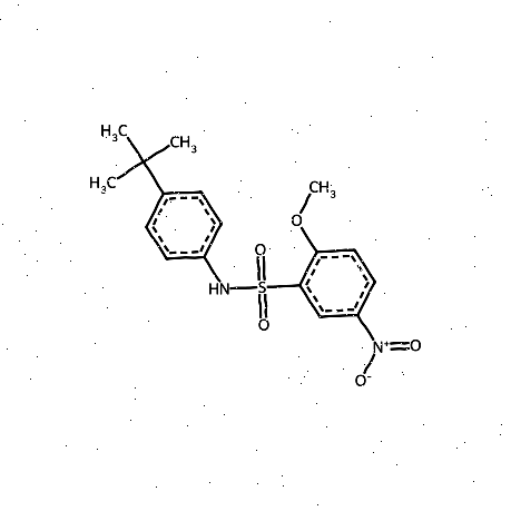 COc1ccc([N+](=O)[O-])cc1S(=O)(=O)Nc1ccc(C(C)(C)C)cc1